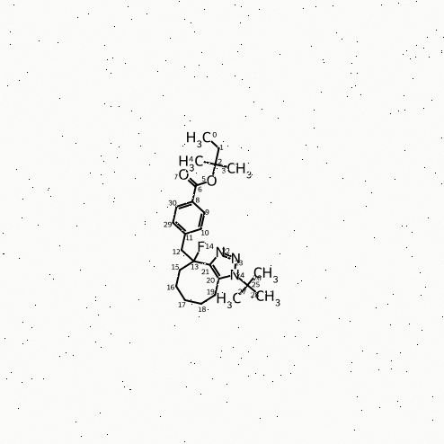 CCC(C)(C)OC(=O)c1ccc(CC2(F)CCCCCc3c2nnn3C(C)(C)C)cc1